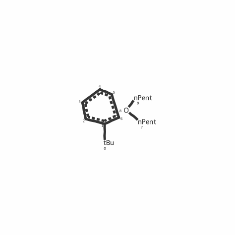 CC(C)(C)c1ccccc1.CCCCCOCCCCC